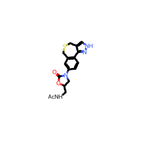 CC(=O)NCC1CN(c2ccc3c(c2)CSCc2c[nH]nc2-3)C(=O)O1